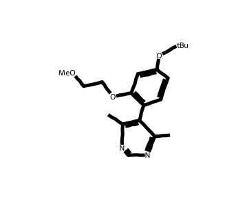 COCCOc1cc(OC(C)(C)C)ccc1-c1c(C)ncnc1C